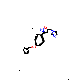 Cc1nccn1Cc1cc(-c2ccc(OCc3ccccc3)cc2)no1